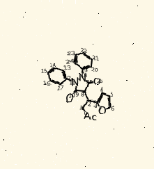 CC(=O)CC(c1ccco1)C1C(=O)N(c2ccccc2)N(c2ccccc2)C1=O